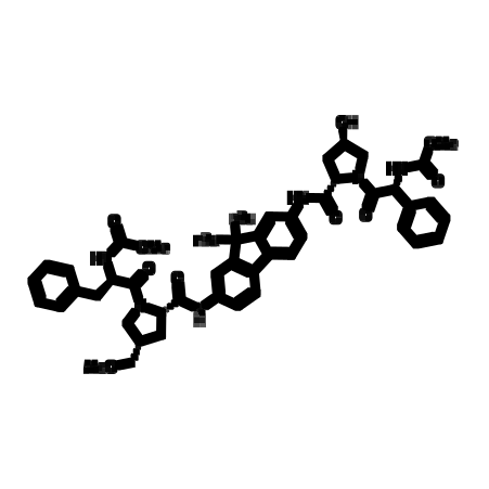 CCCCC1(CCCC)c2cc(NC(=O)[C@@H]3C[C@H](COC)CN3C(=O)[C@@H](Cc3ccccc3)NC(=O)OC)ccc2-c2ccc(NC(=O)[C@@H]3C[C@@H](O)CN3C(=O)[C@H](NC(=O)OC)c3ccccc3)cc21